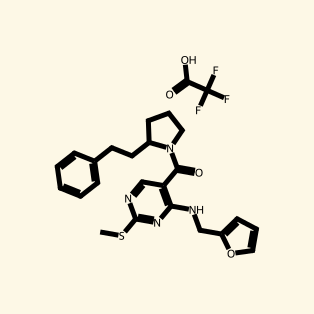 CSc1ncc(C(=O)N2CCCC2CCc2ccccc2)c(NCc2ccco2)n1.O=C(O)C(F)(F)F